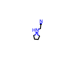 N#CCNN1CCCC1